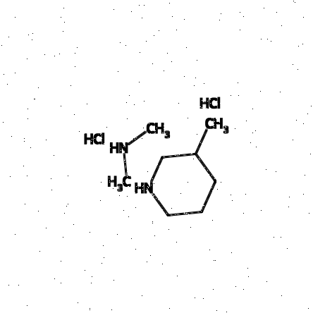 CC1CCCNC1.CNC.Cl.Cl